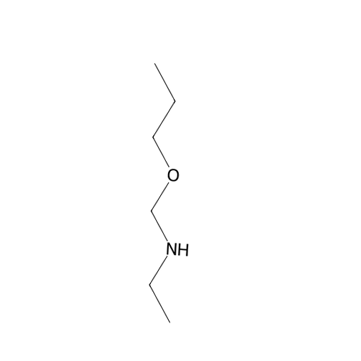 CCCOCNCC